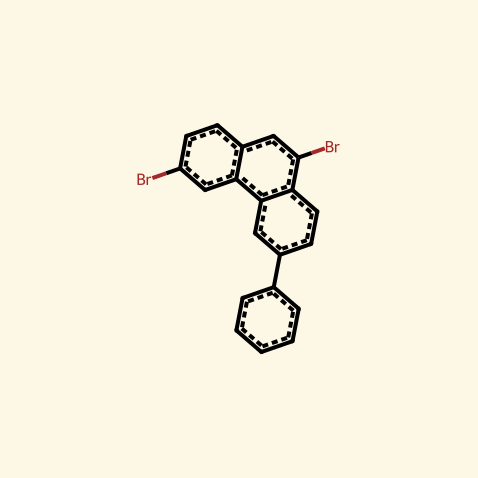 Brc1ccc2cc(Br)c3ccc(-c4ccccc4)cc3c2c1